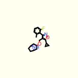 Cc1cccc(F)c1-c1noc(C2CC2)c1COC1CC2CCC(C1)N2